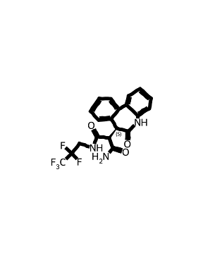 NC(=O)C(C(=O)NCC(F)(F)C(F)(F)F)[C@@H]1C(=O)Nc2ccccc2-c2ccccc21